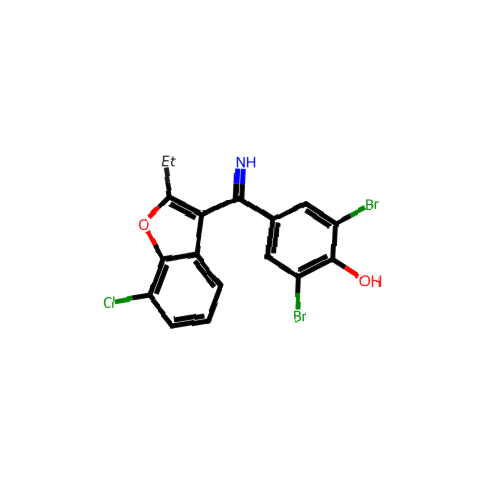 CCc1oc2c(Cl)cccc2c1C(=N)c1cc(Br)c(O)c(Br)c1